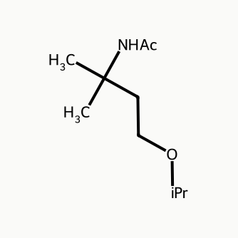 CC(=O)NC(C)(C)CCOC(C)C